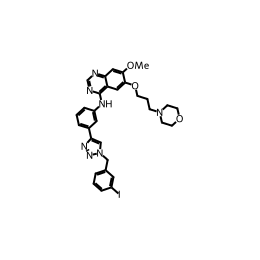 COc1cc2ncnc(Nc3cccc(-c4cn(Cc5cccc(I)c5)nn4)c3)c2cc1OCCCN1CCOCC1